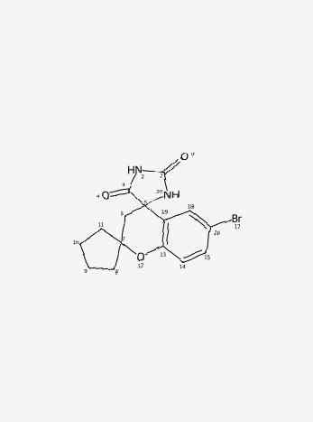 O=C1NC(=O)C2(CC3(CCCC3)Oc3ccc(Br)cc32)N1